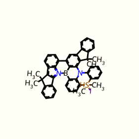 CC1(C)c2ccccc2-c2cc3c4c(c21)N1c2ccccc2[SH](C)(C)(I)c2cccc(c21)B4n1c2c(c4cccc-3c41)C(C)(C)c1ccccc1-2